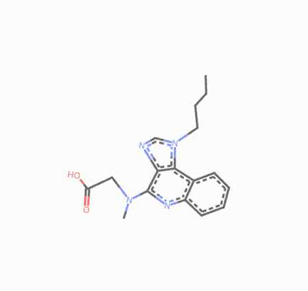 CCCCn1cnc2c(N(C)CC(=O)O)nc3ccccc3c21